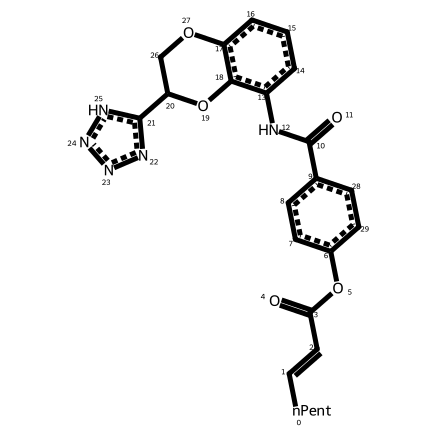 CCCCCC=CC(=O)Oc1ccc(C(=O)Nc2cccc3c2OC(c2nnn[nH]2)CO3)cc1